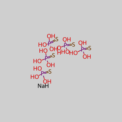 OP(O)(O)=S.OP(O)(O)=S.OP(O)(O)=S.OP(O)(O)=S.OP(O)(O)=S.[NaH]